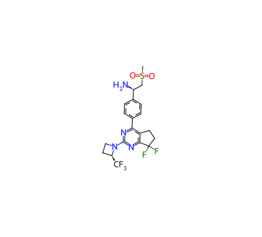 CS(=O)(=O)C[C@H](N)c1ccc(-c2nc(N3CC[C@@H]3C(F)(F)F)nc3c2CCC3(F)F)cc1